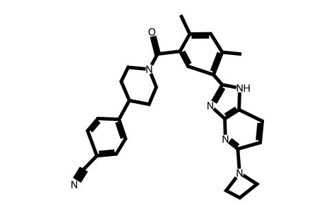 Cc1cc(C)c(-c2nc3nc(N4CCC4)ccc3[nH]2)cc1C(=O)N1CCC(c2ccc(C#N)cc2)CC1